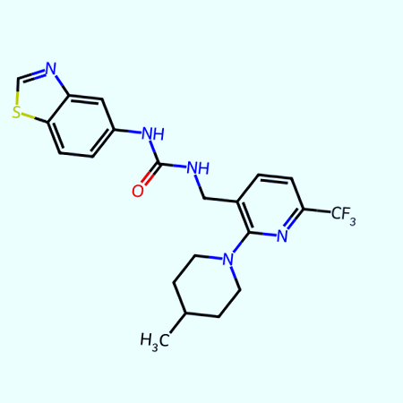 CC1CCN(c2nc(C(F)(F)F)ccc2CNC(=O)Nc2ccc3scnc3c2)CC1